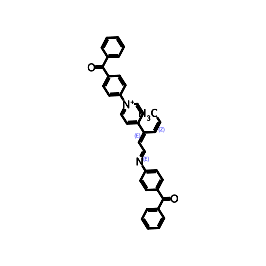 C\C=C/C(=C\C=N\c1ccc(C(=O)c2ccccc2)cc1)c1cc[n+](-c2ccc(C(=O)c3ccccc3)cc2)cc1